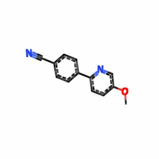 COc1ccc(-c2ccc(C#N)cc2)nc1